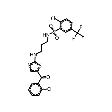 O=C(c1cnc(NCCCNS(=O)(=O)c2cc(C(F)(F)F)ccc2Cl)s1)c1ccccc1Cl